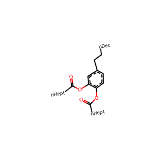 CCCCCCCCCCCCc1ccc(OC(=O)CCCCCCC)c(OC(=O)CCCCCCC)c1